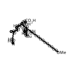 COCCOCCOCCOCCOCCOCCOCCOCCOCCOCCOCCOCCC(=O)NCCCC[C@H](NC(=O)[C@H](CNC(=O)OC(C)(C)C)N1C(=O)C=CC1=O)C(=O)NCCC(=O)Nc1cc(O[C@H]2C[C@@H](O)C[C@@H](C(=O)O)O2)ccc1COC(=O)Nc1cccc(C(=O)N(C)CCON(C(=O)CCCCCCNC(=O)Nc2ccncc2)C2CCCCC2)c1